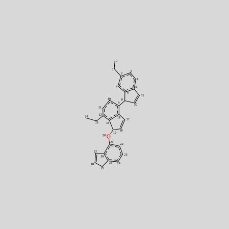 CCc1ccc2c(c1)C(c1ccc(CC)c3c1C=CC3Oc1cccc3c1C=CC3)C=C2